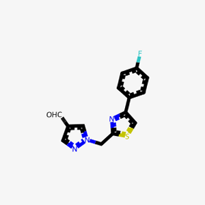 O=Cc1cnn(Cc2nc(-c3ccc(F)cc3)cs2)c1